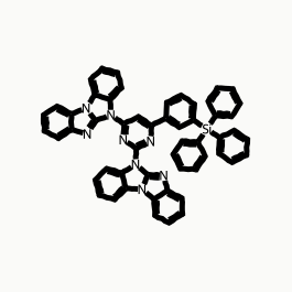 c1ccc([Si](c2ccccc2)(c2ccccc2)c2cccc(-c3cc(-n4c5ccccc5n5c6ccccc6nc45)nc(-n4c5ccccc5n5c6ccccc6nc45)n3)c2)cc1